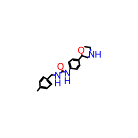 Cc1ccc(CNC(=O)Nc2ccc(C3CNCCO3)cc2)cc1